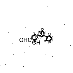 O=CC1C=CN(c2cc(-c3ccccc3)ccn2)C=C1O